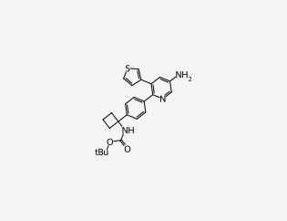 CC(C)(C)OC(=O)NC1(c2ccc(-c3ncc(N)cc3-c3ccsc3)cc2)CCC1